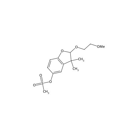 COCCOC1Oc2ccc(OS(C)(=O)=O)cc2C1(C)C